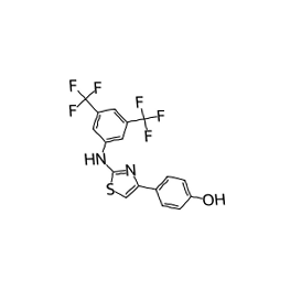 Oc1ccc(-c2csc(Nc3cc(C(F)(F)F)cc(C(F)(F)F)c3)n2)cc1